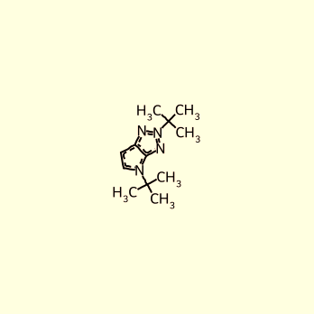 CC(C)(C)n1nc2ccn(C(C)(C)C)c2n1